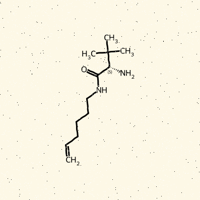 C=CCCCCNC(=O)[C@@H](N)C(C)(C)C